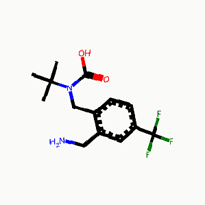 CC(C)(C)N(Cc1ccc(C(F)(F)F)cc1CN)C(=O)O